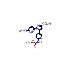 COc1ccc(-n2nc(C(=O)O)cc2-c2ccc(NC(=O)OC(C)(C)C)nc2)nn1